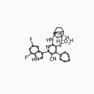 N#Cc1c(-c2c[nH]c3c(F)cc(F)cc23)nc(N[C@H]2C3CCC(CC3)[C@H]2C(=O)O)c(F)c1-c1ccccc1